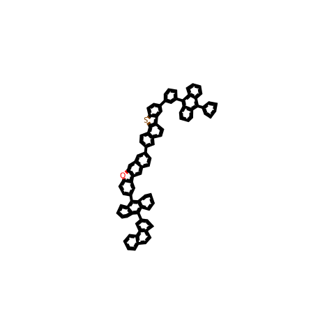 c1ccc(-c2c3ccccc3c(-c3cccc(-c4ccc5sc6c7ccc(-c8ccc9cc%10c(cc9c8)oc8ccc(-c9c%11ccccc%11c(-c%11ccc%12ccc%13ccccc%13c%12c%11)c%11ccccc9%11)cc8%10)cc7ccc6c5c4)c3)c3ccccc23)cc1